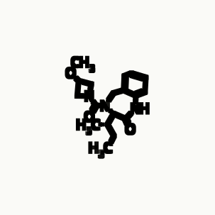 CC[C@H](C)[C@H]1C(=O)Nc2ccccc2CN1C(=O)N1CC(OC)C1